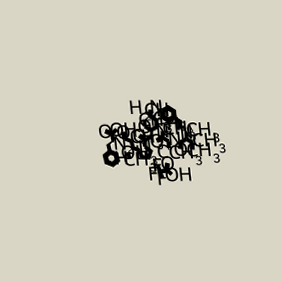 CC[C@H](C)[C@@H]([C@@H](CC(=O)N1CCCC1[C@H](OC)[C@@H](C)C(=O)N[C@@H](Cc1ccccc1)C(=O)O)OC)N(C)C(=O)C(NC(=O)C(C(C)C)N(C)CCc1ccc(N)cc1)C(C)C.O=C(O)C(F)(F)F